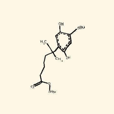 CCCCCCOC(=O)CCCC(C)(C)c1cc(O)c(C(C)(C)C)cc1O